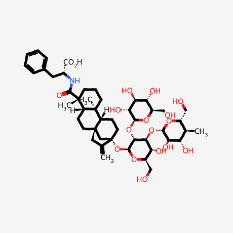 C=C1C[C@@]23CC[C@H]4[C@@](C)(CCC[C@@]4(C)C(=O)N[C@H](Cc4ccccc4)C(=O)O)[C@@H]2CC[C@]1(O[C@@H]1O[C@H](CO)[C@@H](O)[C@H](O[C@@H]2O[C@H](CO)[C@@H](C)[C@H](O)[C@H]2O)[C@H]1O[C@@H]1O[C@H](CO)[C@@H](O)[C@H](O)[C@H]1O)C3